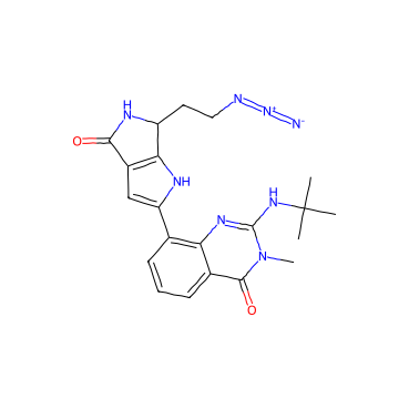 Cn1c(NC(C)(C)C)nc2c(-c3cc4c([nH]3)C(CCN=[N+]=[N-])NC4=O)cccc2c1=O